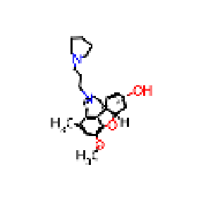 COc1cc(C)c2c3c1O[C@H]1C[C@H](O)C=C[C@@]31CCN(CCCN1CCCCC1)C2